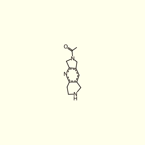 CC(=O)N1Cc2cc3c(nc2C1)CCNC3